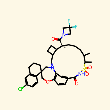 CC1CCC[C@H](C(=O)N2CC(F)(F)C2)C2CCC2CN2CC3(CCCc4cc(Cl)ccc43)COc3ccc(cc32)C(=O)NS(=O)(=O)C1C